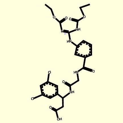 CCOC(=O)/N=C(\NC(=O)OCC)Nc1cccc(C(=O)NCC(=O)NC(CC(=O)O)c2cc(Cl)cc(Cl)c2)c1